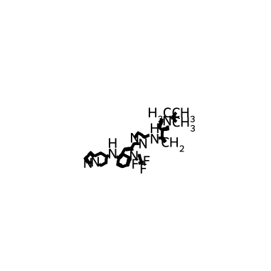 C=C(NCC1=NC(c2cc3c(NC4CCn5nccc5C4)cccc3n2CC(F)(F)F)=NC1)c1ccn(C(C)(C)C)c1